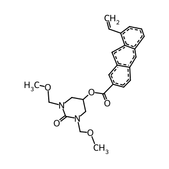 C=Cc1cccc2cc3ccc(C(=O)OC4CN(COC)C(=O)N(COC)C4)cc3cc12